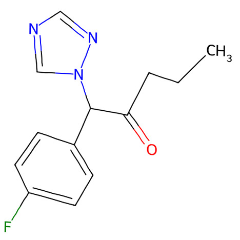 CCCC(=O)C(c1ccc(F)cc1)n1cncn1